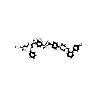 Cc1cc(S(=O)(=O)NC(=O)c2ccc(N3CCN(Cc4ccccc4-c4ccc(Cl)cc4)CC3)cc2)ccc1N[C@H](CCCN(C)C)CSc1ccccc1